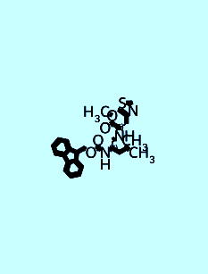 COC(=O)[C@H](Cc1cscn1)NC[C@H](CC(C)C)NC(=O)OCC1c2ccccc2-c2ccccc21